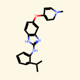 CC(C)c1ccccc1Nc1nc2cc(OC3=CCN(C)C=C3)ccc2[nH]1